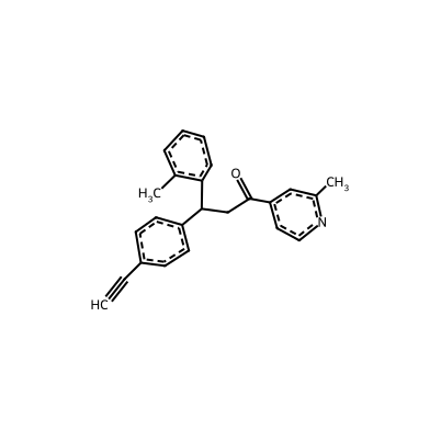 C#Cc1ccc(C(CC(=O)c2ccnc(C)c2)c2ccccc2C)cc1